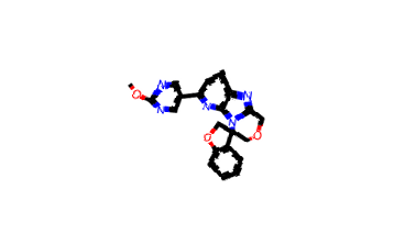 COc1ncc(-c2ccc3nc4n(c3n2)C2(COC4)COc3ccccc32)cn1